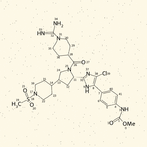 COC(=O)Nc1ccc(-c2[nH]c([C@@H]3CC(C4CCN(S(C)(=O)=O)CC4)CN3C(=O)C3CCN(C(=N)N)CC3)nc2Cl)cc1